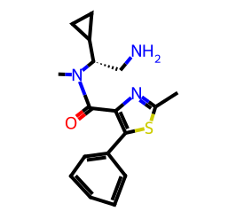 Cc1nc(C(=O)N(C)[C@@H](CN)C2CC2)c(-c2ccccc2)s1